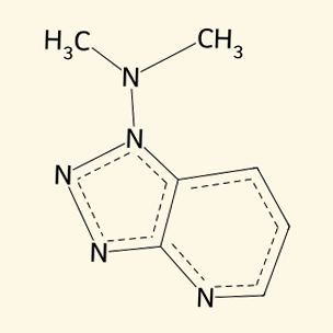 CN(C)n1nnc2ncccc21